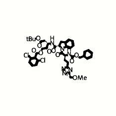 COCn1nnc(CC[C@H](NC(=O)OCc2ccccc2)C(=O)N2c3ccccc3C[C@H]2C(=O)N[C@@H](CC(=O)OC(C)(C)C)C(=O)COC(=O)c2c(Cl)cccc2Cl)n1